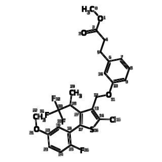 COC(=O)CCc1cccc(OCc2c(Cl)sc(-c3cc(OC)ccc3F)c2C(C)C(F)(F)F)c1